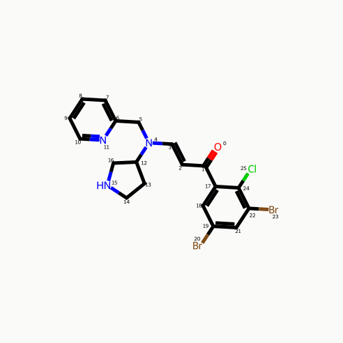 O=C(/C=C/N(Cc1ccccn1)C1CCNC1)c1cc(Br)cc(Br)c1Cl